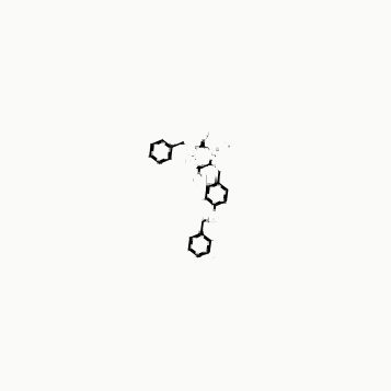 CN(C(=O)OCc1ccccc1)[C@@H](Cc1ccc(OCc2ccccc2)cc1)C(=O)O